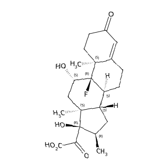 C[C@@H]1C[C@H]2[C@@H]3CCC4=CC(=O)CC[C@]4(C)[C@@]3(F)[C@@H](O)C[C@]2(C)[C@@]1(O)C(=O)C(=O)O